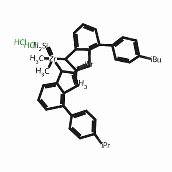 CCC(C)c1ccc(-c2cccc3c2C=C(C)[CH]3[Zr]([CH3])([CH3])(=[SiH2])[CH]2C(C(C)C)=Cc3c(-c4ccc(C(C)C)cc4)cccc32)cc1.Cl.Cl